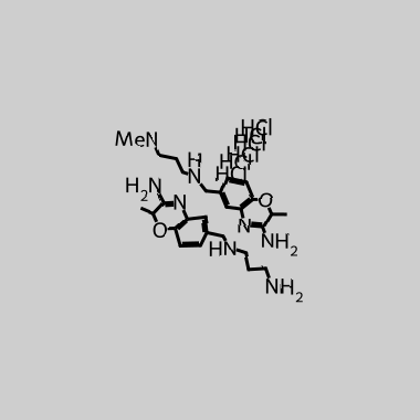 CC1Oc2ccc(CNCCCN)cc2N=C1N.CNCCCNCc1ccc2c(c1)N=C(N)C(C)O2.Cl.Cl.Cl.Cl.Cl.Cl